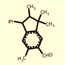 Cc1cc2c(cc1C=O)C(C)(C)C(C)C2C(C)C